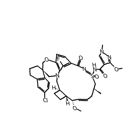 COc1nn(C)cc1C(=O)NS1(=O)=NC(=O)c2ccc3c(c2F)N(C[C@@H]2CC[C@H]2[C@@H](OC)/C=C/C[C@H](C)C1)C[C@@]1(CCCc2cc(Cl)ccc21)CO3